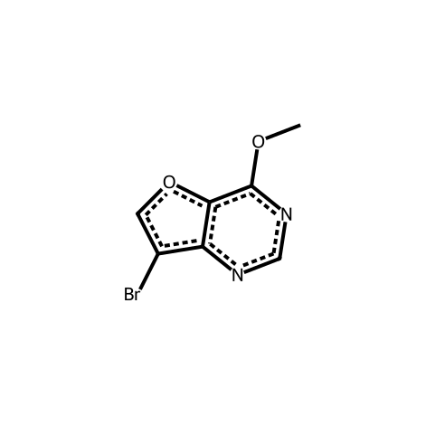 COc1ncnc2c(Br)coc12